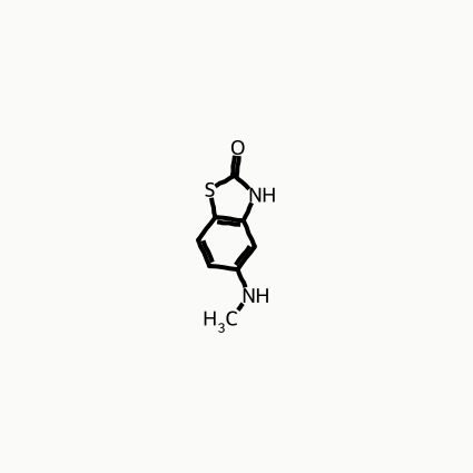 CNc1ccc2sc(=O)[nH]c2c1